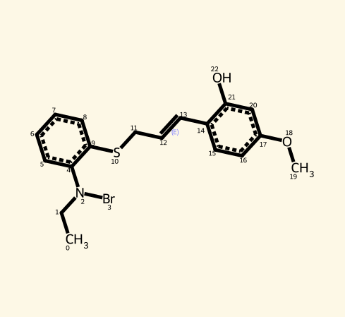 CCN(Br)c1ccccc1SC/C=C/c1ccc(OC)cc1O